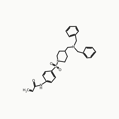 C=CC(=O)Nc1ccc(S(=O)(=O)N2CCC(CN(Cc3ccccc3)Cc3ccccc3)CC2)cc1